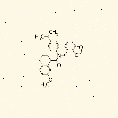 COc1ccc2c(c1)C(C(=O)N(Cc1cccc3c1OCO3)c1ccc(C(C)C)cc1)CCC2